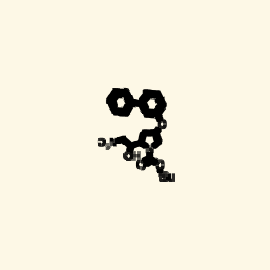 CC(C)(C)OC(=O)N1CC(Oc2cccc(-c3ccccc3)c2)CC1C(O)C[N+](=O)[O-]